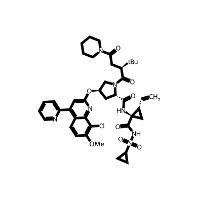 C=C[C@@H]1C[C@]1(NC(=O)[C@@H]1C[C@@H](Oc2cc(-c3ccccn3)c3ccc(OC)c(Cl)c3n2)CN1C(=O)[C@@H](CC(=O)N1CCCCC1)C(C)(C)C)C(=O)NS(=O)(=O)C1CC1